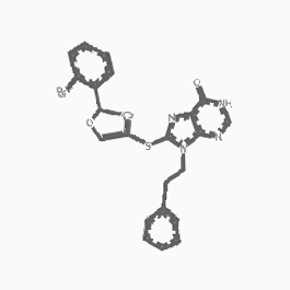 O=c1[nH]cnc2c1nc(SC1=COC(c3ccccc3Br)O1)n2CCc1ccccc1